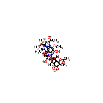 COc1c(C)cc2c(c1O)[C@@H]1N[C@@H](C2)[C@H](O)N2C1[C@@H]1SC[C@H](NC(=O)C(NC(=O)C(C)NC(C)=O)C(C)C)C(=O)OC[C@H]2c2c3c(c(C)c(OC(C)=O)c21)OCO3